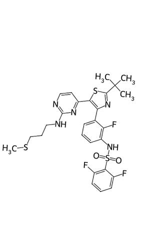 CSCCCNc1nccc(-c2sc(C(C)(C)C)nc2-c2cccc(NS(=O)(=O)c3c(F)cccc3F)c2F)n1